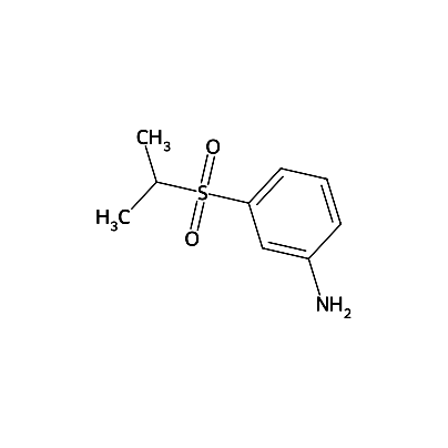 CC(C)S(=O)(=O)c1cccc(N)c1